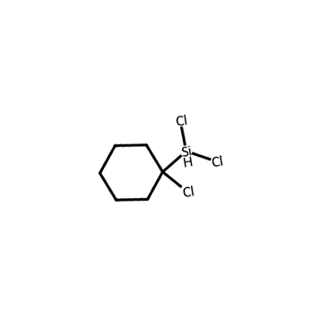 Cl[SiH](Cl)C1(Cl)CCCCC1